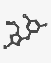 COCn1nc(Br)nc1Oc1cc(F)cc(Cl)c1